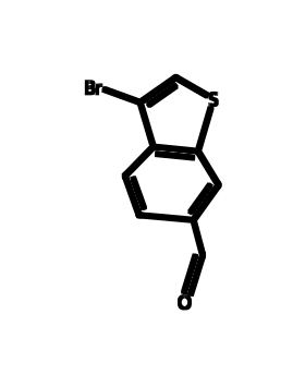 O=Cc1ccc2c(Br)csc2c1